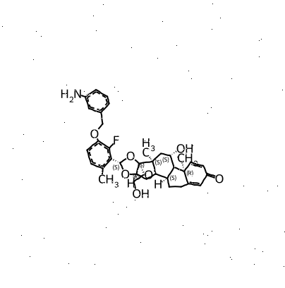 Cc1ccc(OCc2cccc(N)c2)c(F)c1[C@H]1O[C@@H]2CC3[C@@H]4CCC5=CC(=O)C=C[C@]5(C)C4[C@@H](O)C[C@]3(C)[C@]2(C(=O)CO)O1